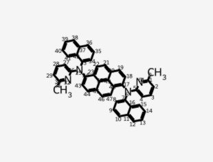 Cc1cccc(N(c2cccc3ccccc23)c2ccc3ccc4c(N(c5cccc(C)n5)c5cccc6ccccc56)ccc5ccc2c3c54)n1